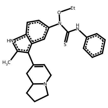 CCON(C(=S)Nc1ccccc1)c1ccc2[nH]c(C)c(C3=CCN4CCCC4C3)c2c1